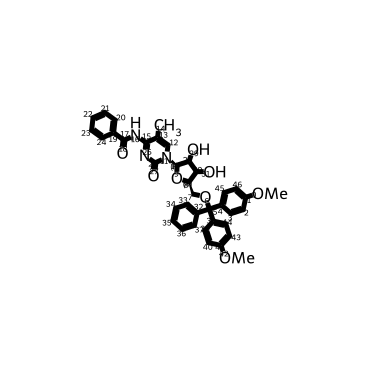 COc1ccc(C(OC[C@H]2O[C@@H](n3cc(C)c(NC(=O)c4ccccc4)nc3=O)C(O)C2O)(c2ccccc2)c2ccc(OC)cc2)cc1